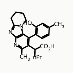 CCCC(C(=O)O)c1c(C)nc2nc3n(c2c1-c1ccc(C)cc1O)CCCC3